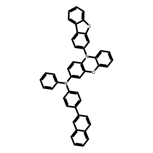 c1ccc(N(c2ccc(-c3ccc4ccccc4c3)cc2)c2ccc3c(c2)Oc2ccccc2N3c2ccc3c(c2)sc2ccccc23)cc1